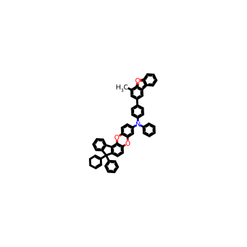 Cc1cc(-c2ccc(N(c3ccccc3)c3ccc4c(c3)Oc3ccc5c(c3O4)-c3ccccc3C5(C3=CCCC=C3)c3ccccc3)cc2)cc2c1oc1ccccc12